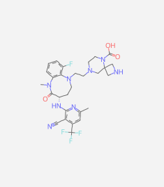 Cc1cc(C(F)(F)F)c(C#N)c(N[C@H]2CCN(CCN3CCN(C(=O)O)C4(CNC4)C3)c3c(F)cccc3N(C)C2=O)n1